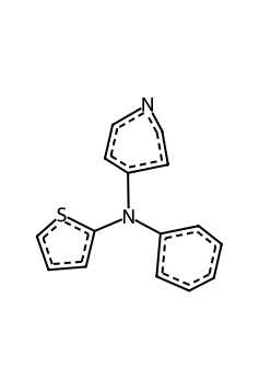 c1ccc(N(c2ccncc2)c2cccs2)cc1